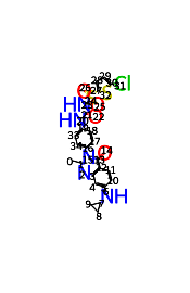 Cc1nc2cc(NC3CC3)ccc2c(=O)n1-c1ccc(NC(=O)NS(=O)(=O)c2ccc(Cl)s2)cc1